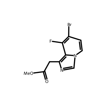 COC(=O)Cc1ncn2ccc(Br)c(F)c12